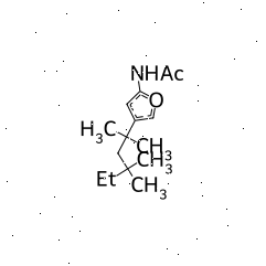 CCC(C)(C)CC(C)(C)c1coc(NC(C)=O)c1